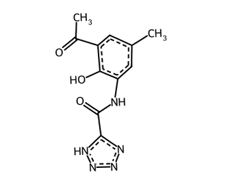 CC(=O)c1cc(C)cc(NC(=O)c2nnn[nH]2)c1O